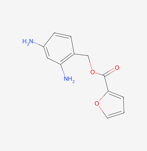 Nc1ccc(COC(=O)c2ccco2)c(N)c1